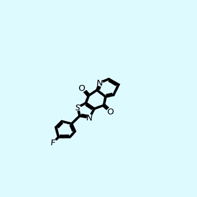 O=C1c2cccnc2C(=O)c2sc(-c3ccc(F)cc3)nc21